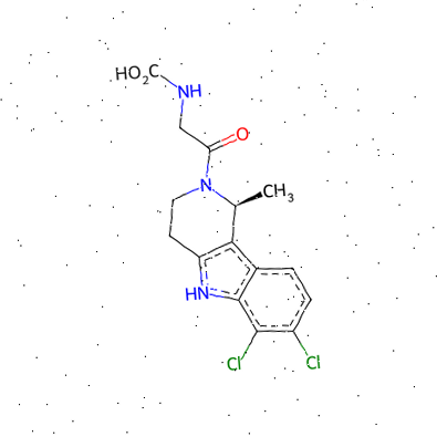 C[C@H]1c2c([nH]c3c(Cl)c(Cl)ccc23)CCN1C(=O)CNC(=O)O